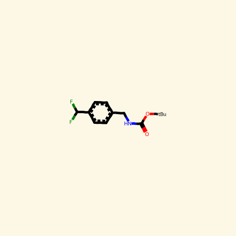 CC(C)(C)OC(=O)NCc1ccc(C(F)F)cc1